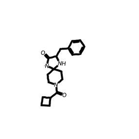 O=C1[N]C2(CCN(C(=O)C3CCC3)CC2)NC1Cc1ccccc1